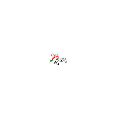 OF.[SiH4].[SiH4]